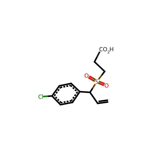 C=CC(c1ccc(Cl)cc1)S(=O)(=O)CCC(=O)O